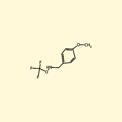 COc1ccc(CNOC(F)(F)F)cc1